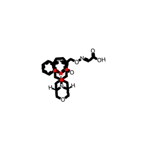 O=C(O)/C=N/OCc1nc2ccccc2n([C@H]2C[C@H]3COC[C@@H](C2)N3C2CC3CCCCC(C3)C2)c1=O